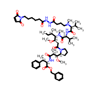 CC[C@H](C)[C@@H]([C@@H](CC(=O)N1CCC[C@H]1[C@H](OC)[C@@H](C)C(=O)N[C@H](C(=O)OCc1ccccc1)[C@@H](C)c1ccccc1)OC)N(C)C(=O)[C@@H](NC(=O)[C@H](C(C)C)N(C)CCCC(=O)NNC(=O)CCCCCN1C(=O)C=CC1=O)C(C)C